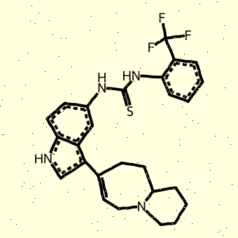 FC(F)(F)c1ccccc1NC(=S)Nc1ccc2[nH]cc(C3=CCN4CCCCC4CC3)c2c1